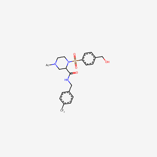 CC(=O)N1CCN(S(=O)(=O)c2ccc(CO)cc2)C(C(=O)NCc2ccc(C(F)(F)F)cc2)C1